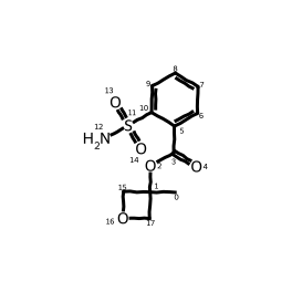 CC1(OC(=O)c2ccccc2S(N)(=O)=O)COC1